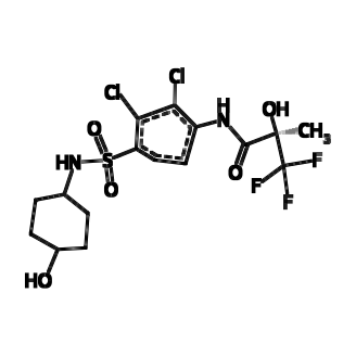 C[C@@](O)(C(=O)Nc1ccc(S(=O)(=O)NC2CCC(O)CC2)c(Cl)c1Cl)C(F)(F)F